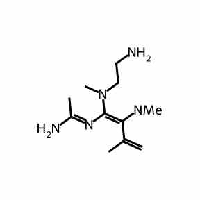 C=C(C)/C(NC)=C(\N=C(/C)N)N(C)CCN